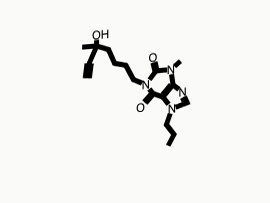 C#CC(C)(O)CCCCn1c(=O)c2c(ncn2CCC)n(C)c1=O